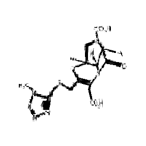 Cn1nnnc1SCC1=C(C(=O)O)N2C(=O)[C@@H]3[C@H]2[C@@H](CN3C(=O)O)O1